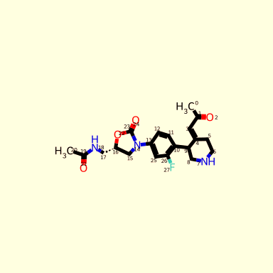 CC(=O)C=C1CCNCC1c1ccc(N2C[C@H](CNC(C)=O)OC2=O)cc1F